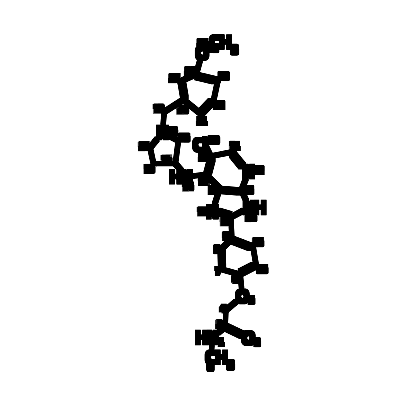 CNC(=O)COc1ccc(-c2nc3c(NC4CCN(Cc5cccc(OC)c5)C4)c(Cl)cnc3[nH]2)cc1